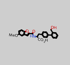 COc1ccc2oc(C(=O)NC(Cc3ccc(-c4ccccc4CO)cc3)C(=O)O)cc2c1